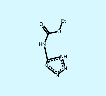 CCOC(=O)Nc1nnn[nH]1